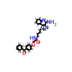 Nc1nc2ccccc2c2c1ncn2CCCCNC(=O)COc1ccc(C(=O)c2ccccc2)cc1